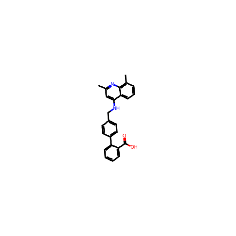 Cc1cc(NCc2ccc(-c3ccccc3C(=O)O)cc2)c2cccc(C)c2n1